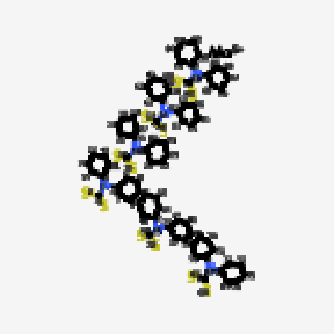 S=C([S-])N(c1ccccc1)c1ccccc1.S=C([S-])N(c1ccccc1)c1ccccc1.S=C([S-])N(c1ccccc1)c1ccccc1.S=C([S-])N(c1ccccc1)c1ccccc1.S=C([S-])N(c1ccccc1)c1ccccc1.S=C([S-])N(c1ccccc1)c1ccccc1.[Mo+6]